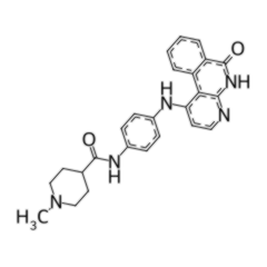 CN1CCC(C(=O)Nc2ccc(Nc3ccnc4[nH]c(=O)c5ccccc5c34)cc2)CC1